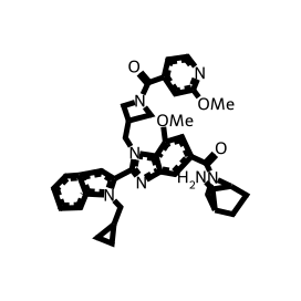 COc1cc(C(=O)N2CC(Cn3c(-c4cc5ccccc5n4CC4CC4)nc4cc(C(=O)N5CC6CCC5C6N)cc(OC)c43)C2)ccn1